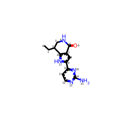 CCC1CNC(=O)c2cc(-c3ccnc(N)n3)[nH]c21